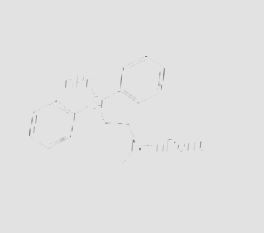 CCCCCN(C)CC[Si](CCC)(c1ccccc1)c1ccccc1